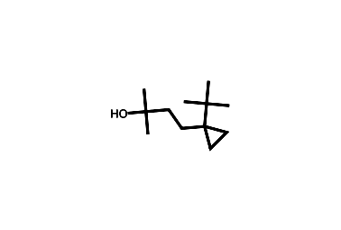 CC(C)(O)CCC1(C(C)(C)C)CC1